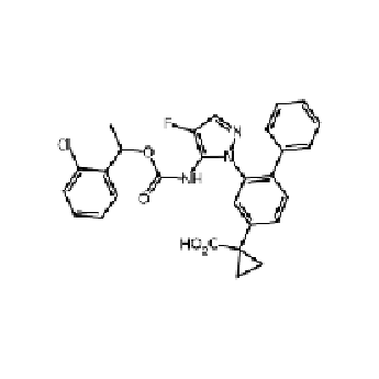 CC(OC(=O)Nc1c(F)cnn1-c1cc(C2(C(=O)O)CC2)ccc1-c1ccccc1)c1ccccc1Cl